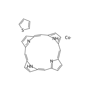 C1=Cc2cc3ccc(cc4nc(cc5ccc(cc1n2)[nH]5)C=C4)[nH]3.[Co].c1ccsc1